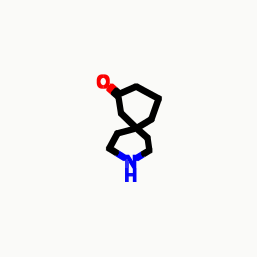 O=C1CCCC2(CCNCC2)C1